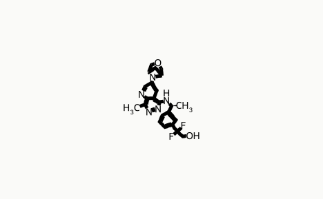 Cc1nnc(N[C@H](C)c2cccc(C(F)(F)CO)c2)c2cc(N3C4COCC3C4)cnc12